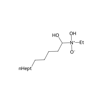 CCCCCCCCCCCC(O)[N+]([O-])(O)CC